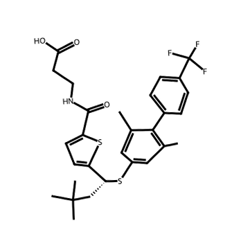 Cc1cc(S[C@H](CC(C)(C)C)c2ccc(C(=O)NCCC(=O)O)s2)cc(C)c1-c1ccc(C(F)(F)F)cc1